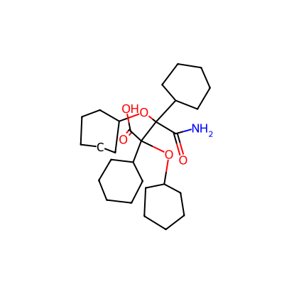 NC(=O)C(OC1CCCCC1)(C1CCCCC1)C(OC1CCCCC1)(C(=O)O)C1CCCCC1